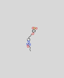 CCCc1nc(N2CCC(CCCOc3ccc(S(C)(=O)=O)cc3)CC2)no1